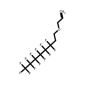 C=CCOCCC(F)(F)C(F)(F)C(F)(F)C(F)(F)C(F)(F)C(F)(F)F